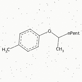 C[CH]CCCC(C)Oc1ccc(C)cc1